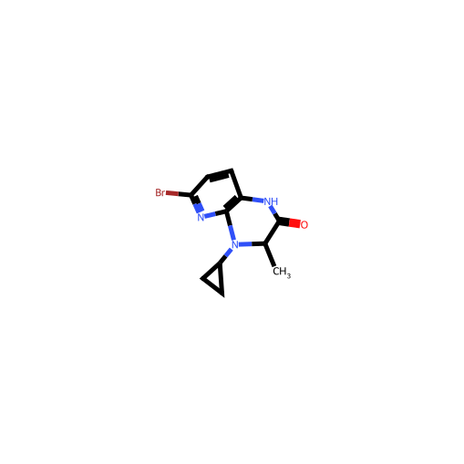 CC1C(=O)Nc2ccc(Br)nc2N1C1CC1